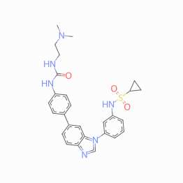 CN(C)CCNC(=O)Nc1ccc(-c2ccc3ncn(-c4cccc(NS(=O)(=O)C5CC5)c4)c3c2)cc1